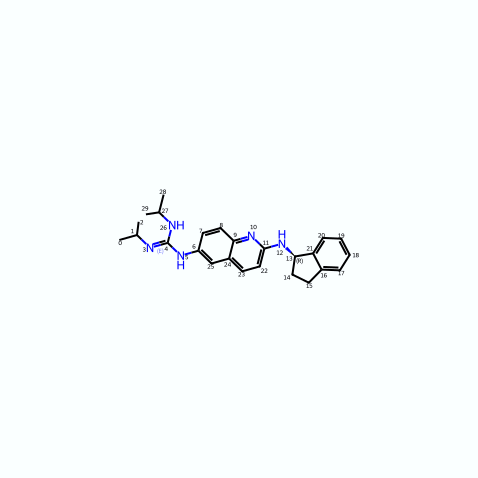 CC(C)/N=C(/Nc1ccc2nc(N[C@@H]3CCc4ccccc43)ccc2c1)NC(C)C